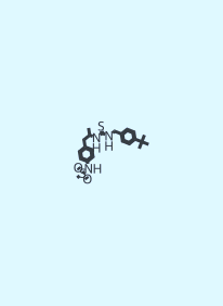 CC(Cc1ccc(NS(C)(=O)=O)cc1)NC(=S)NCc1ccc(C(C)(C)C)cc1